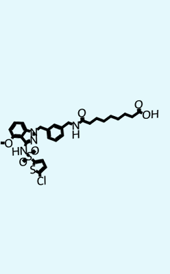 COc1cccc2c1c(NS(=O)(=O)c1ccc(Cl)s1)nn2Cc1cccc(CNC(=O)CCCCCCCC(=O)O)c1